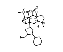 CC(C)C1=CC2CC3(C=O)[C@@H]4CC[C@@H](C)[C@H]4CC2(C2CC(C4CCCCC4)C(CI)O2)[C@]13C(=O)O